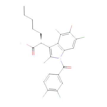 CCCCC[C@H](C(=O)O)c1c(C)n(C(=O)c2ccc(Cl)c(Cl)c2)c2cc(F)c(O)c(F)c12